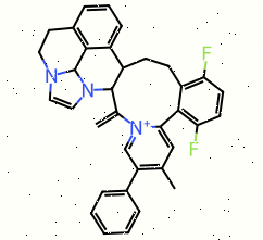 C=C1C2C(CCc3c(F)ccc(F)c3-c3cc(C)c(-c4ccccc4)c[n+]31)c1cccc3c1C1N(C=CN21)CC3